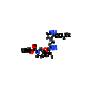 CCOC(=O)c1[nH]ccc1CCNC(C)OC1(C(F)(F)F)CCN(C(=O)OC(C)(C)C)C1